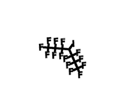 FC(F)(F)C(F)(F)C(F)(F)C(I)C(F)(F)C(F)(F)C(F)(F)F